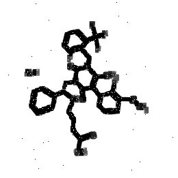 COc1cccc(-c2c(C)n(Cc3c(F)cccc3C(F)(F)F)c(=O)n(C[C@H](NCCCC(=O)O)c3ccccc3)c2=O)c1F.[NaH]